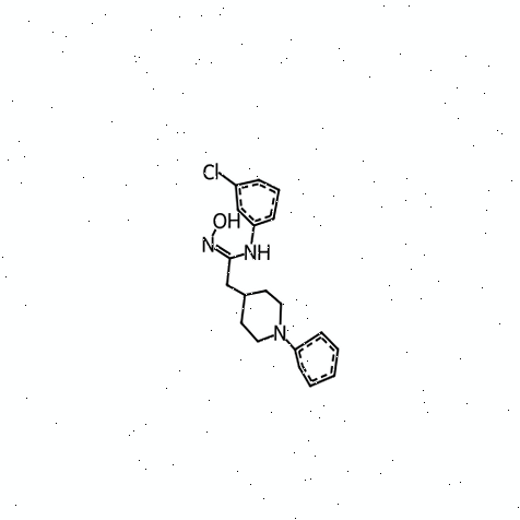 O/N=C(/CC1CCN(c2ccccc2)CC1)Nc1cccc(Cl)c1